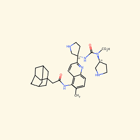 Cc1ccc2nc([C@]3(NC(=O)N(C(=O)O)[C@H]4CCNC4)CCNC3)ccc2c1NC(=O)CC12CC3CC(CC(C3)C1)C2